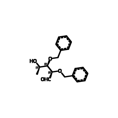 C[C@@H](O)[C@@H](OCc1ccccc1)[C@H](C=O)OCc1ccccc1